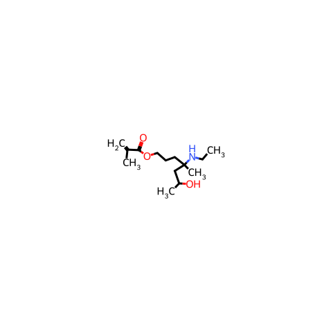 C=C(C)C(=O)OCCCC(C)(CC(C)O)NCC